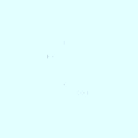 O=C(O)C1(Cl)CC1c1ccc(F)c(C(F)(F)F)c1